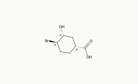 O=C(O)[C@@H]1CC[C@@H](Br)[C@H](O)C1